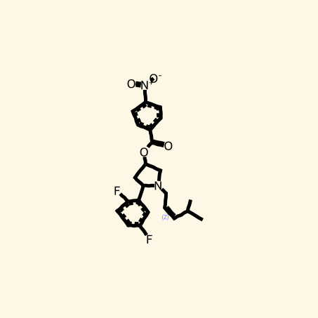 CC(C)/C=C\CN1CC(OC(=O)c2ccc([N+](=O)[O-])cc2)CC1c1cc(F)ccc1F